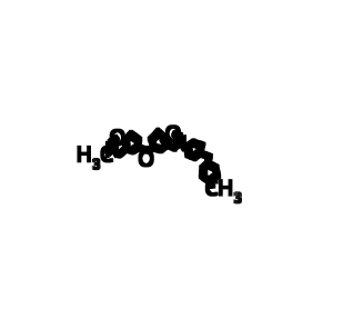 Cc1ccc(Cc2ccc(N3COc4ccc(C(=O)c5ccc6c(c5)CN(C)CO6)cc4C3)cc2)cc1